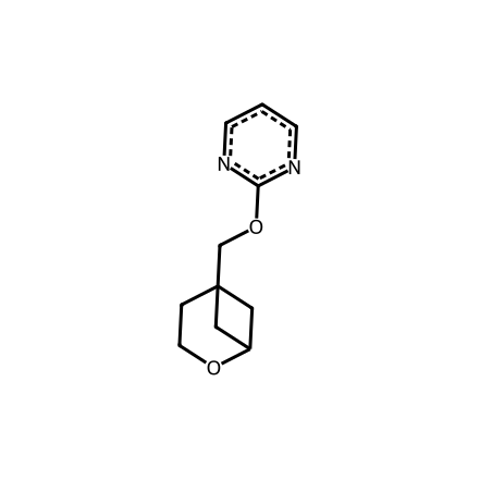 c1cnc(OCC23CCOC(C2)C3)nc1